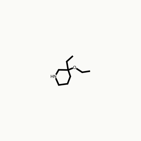 CCOC1(CC)CCCNC1